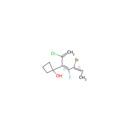 C=C(Cl)/C(=C(F)\C(Br)=C/C)C1(O)CCC1